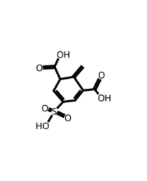 C=C1C(C(=O)O)=CC(S(=O)(=O)O)=CC1C(=O)O